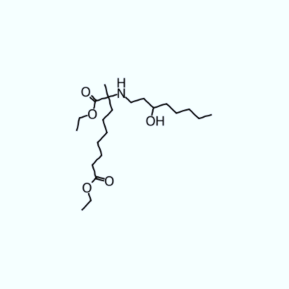 CCCCCC(O)CCNC(C)(CCCCCCC(=O)OCC)C(=O)OCC